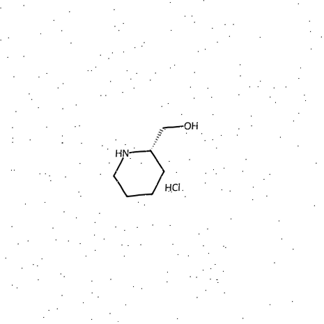 Cl.OC[C@@H]1CCCCN1